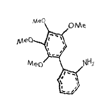 COc1cc(-c2ccccc2N)c(OC)c(OC)c1OC